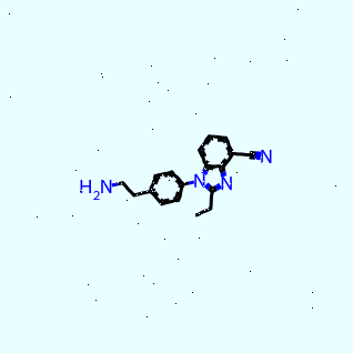 CCc1nc2c(C#N)cccc2n1-c1ccc(CCN)cc1